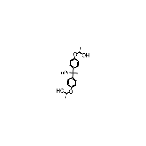 CCCC(C)(c1ccc(OC(C)O)cc1)c1ccc(OC(C)O)cc1